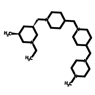 CCN1C[C@@H](C)C[C@H](CN2CCC(CN3CCC(CN4CCN(C)CC4)CC3)CC2)C1